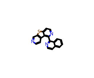 c1ccc2c(-c3nccc4sc5cnccc5c34)nccc2c1